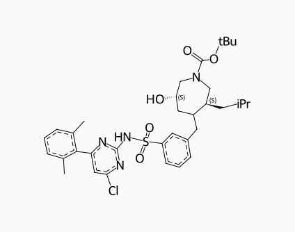 Cc1cccc(C)c1-c1cc(Cl)nc(NS(=O)(=O)c2cccc(CC3C[C@H](O)CN(C(=O)OC(C)(C)C)C[C@H]3CC(C)C)c2)n1